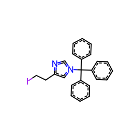 ICCc1cn(C(c2ccccc2)(c2ccccc2)c2ccccc2)cn1